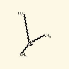 CCCCCCCCCCCCCCCCCCCc1n(CCCCCCCC)cc[n+]1CCCCCCCCCC